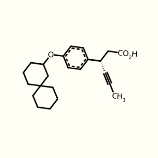 CC#C[C@@H](CC(=O)O)c1ccc(OC2CCCC3(CCCCC3)C2)cc1